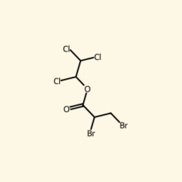 O=C(OC(Cl)C(Cl)Cl)C(Br)CBr